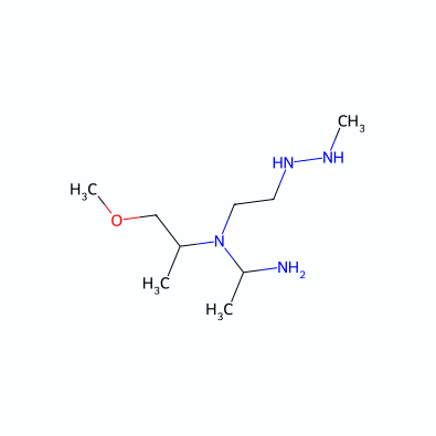 CNNCCN(C(C)N)C(C)COC